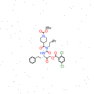 CC(C)CCN(C(=O)N[C@@H](CCc1ccccc1)C(=O)COC(=O)c1cc(Cl)ccc1Cl)C(=O)C1CCN(C(=O)OC(C)(C)C)CC1